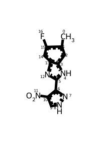 Cc1cc2[nH]c(-c3n[nH]cc3[N+](=O)[O-])nc2cc1F